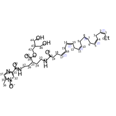 CC/C=C\C/C=C\C/C=C\C/C=C\C/C=C\C/C=C\CCC(=O)NCCC(CCNC(=O)c1c[n+]([O-])c(C)cn1)C(=O)OCC(CO)CO